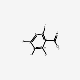 Cc1c(F)cc(F)c(C(=O)Cl)c1C